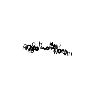 N=C(/C(=C\NC1CC(CCCNc2ccc3c(c2)C(=O)N(C2CCC(=O)NC2=O)C3=O)C1)c1cnc2ccc(CN3CCNCC3)cc2n1)C1CC1